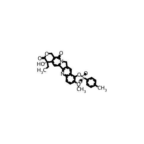 CC[C@@]1(O)C(=O)OCc2c1cc1n(c2=O)Cc2cc3c(OS(=O)(=O)c4ccc(C)cc4)c(OC)ccc3nc2-1